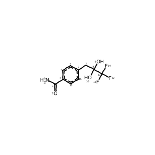 NC(=O)c1ccc(CC(O)(O)C(F)(F)F)cc1